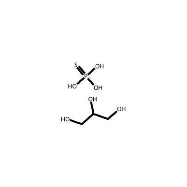 OCC(O)CO.OP(O)(O)=S